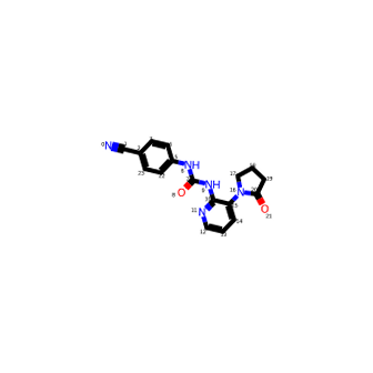 N#Cc1ccc(NC(=O)Nc2ncccc2N2CCCC2=O)cc1